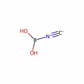 [C-]#[N+]B(O)O